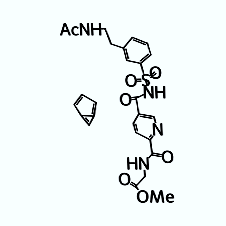 COC(=O)CNC(=O)c1ccc(C(=O)NS(=O)(=O)c2cccc(CCNC(C)=O)c2)cn1.c1cc2cc-2c1